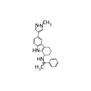 C[C@@H](NC1CCCc2c1[nH]c1ccc(-c3cnn(C)c3)cc21)c1ccccc1